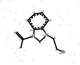 C=C(C)N1CN(CCBr)c2ccccc21